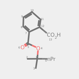 CCCC(C)(C)OC(=O)c1ccccc1C(=O)O